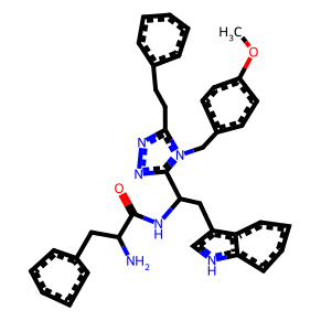 COc1ccc(Cn2c(CCc3ccccc3)nnc2C(Cc2c[nH]c3ccccc23)NC(=O)C(N)Cc2ccccc2)cc1